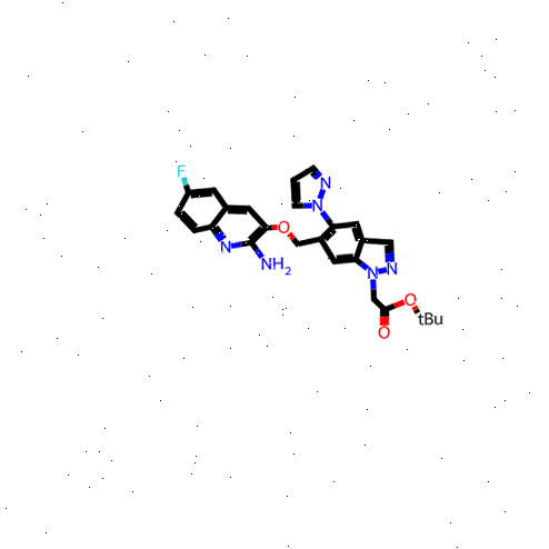 CC(C)(C)OC(=O)Cn1ncc2cc(-n3cccn3)c(COc3cc4cc(F)ccc4nc3N)cc21